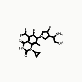 CC1=c2c(c(=O)[nH]c(=O)n2C2CC2)=C(C(F)F)C(F)C1N1CC(F)C(C(N)CO)C1